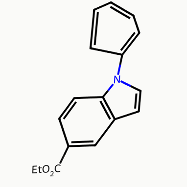 CCOC(=O)c1ccc2c(ccn2-c2ccccc2)c1